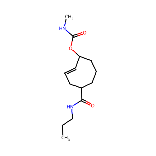 CCCNC(=O)C1C/C=C/C(OC(=O)NC)CCC1